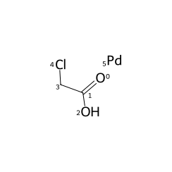 O=C(O)CCl.[Pd]